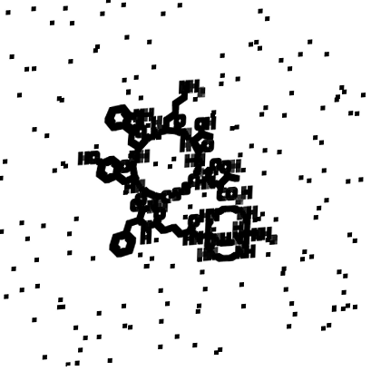 CC(O)C(NC(=O)[C@@H]1CSSC[C@H](NC(=O)C(Cc2ccccc2)NC(=O)CCCC(=O)N[C@]23CNCCNC[C@](N)(CNCCNC2)NCCN3)C(=O)NC(Cc2ccc(O)cc2)C(=O)NC(Cc2c[nH]c3ccccc23)C(=O)NC(CCCCN)C(=O)NC(C(C)O)C(=O)N1)C(=O)O